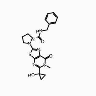 Cn1c(C2(O)CC2)nc2sc(N3CCC[C@@H]3C(=O)NCc3ccccc3)nc2c1=O